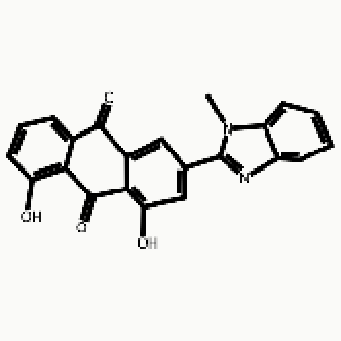 Cn1c(-c2cc(O)c3c(c2)C(=O)c2cccc(O)c2C3=O)nc2ccccc21